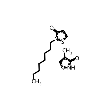 CCCCCCCCn1sccc1=O.Cc1cs[nH]c1=O